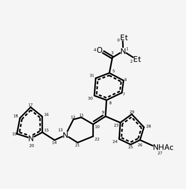 CCN(CC)C(=O)c1ccc(C(=C2CCN(Cc3ccccn3)CC2)c2ccc(NC(C)=O)cc2)cc1